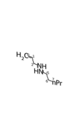 C=CCNN[CH]CCCC